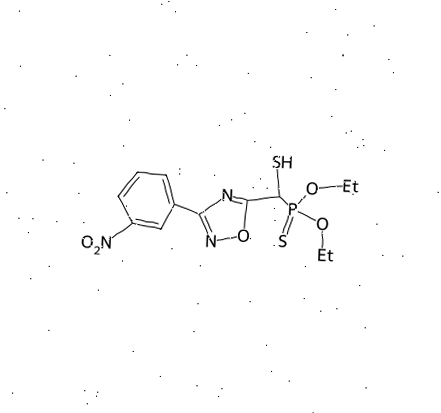 CCOP(=S)(OCC)C(S)c1nc(-c2cccc([N+](=O)[O-])c2)no1